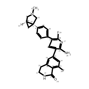 CN1C[C@@H]2C[C@]2(c2ccc(-c3cc(-c4cc(F)c5c(c4)CCNC5=O)c(N)nc3F)cc2)C1